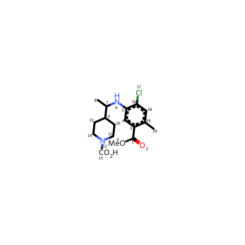 COC(=O)c1cc(NC(C)C2CCN(C(=O)O)CC2)c(Cl)cc1C